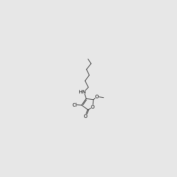 CCCCCCNC1=C(Cl)C(=O)OC1OC